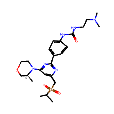 CC(C)S(=O)(=O)Cc1cc(N2CCOC[C@@H]2C)nc(-c2ccc(NC(=O)NCCN(C)C)cc2)n1